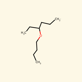 [CH2]CCC(CC)OCCCC